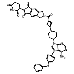 Nc1ncnc2c1c(-c1ccc(Oc3ccccc3)cc1)nn2C1CCN(C23CC(C(=O)N4Cc5cc6c(cc5C4)C(=O)N(C4CCC(=O)NC4=O)C6=O)(C2)C3)CC1